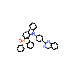 O=P1(c2ccccc2)c2ccccc2-c2c1ccc1c3ccccc3n(-c3ccc(-c4ncc5ccccc5n4)cc3)c21